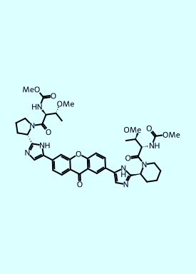 COC(=O)N[C@H](C(=O)N1CCCC[C@H]1c1ncc(-c2ccc3oc4cc(-c5cnc([C@@H]6CCCN6C(=O)[C@@H](NC(=O)OC)[C@@H](C)OC)[nH]5)ccc4c(=O)c3c2)[nH]1)[C@@H](C)OC